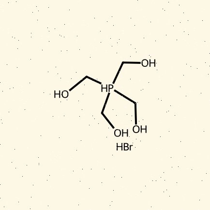 Br.OC[PH](CO)(CO)CO